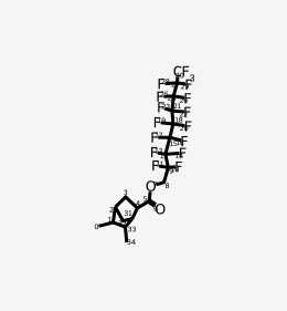 CC1C2CC(C(=O)OCC(F)(F)C(F)(F)C(F)(F)C(F)(F)C(F)(F)C(F)(F)C(F)(F)C(F)(F)F)C(C2)C1C